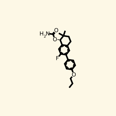 CCCOc1ccc(-c2cc3c(cc2F)[C@H](OC(N)=O)C(C)(C)CC3)cc1